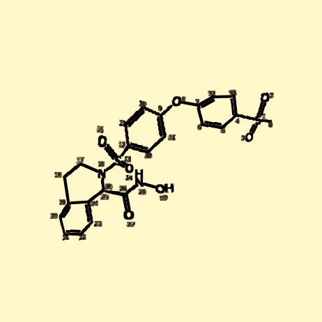 CS(=O)(=O)c1ccc(Oc2ccc(S(=O)(=O)N3CCc4ccccc4[C@@H]3C(=O)NO)cc2)cc1